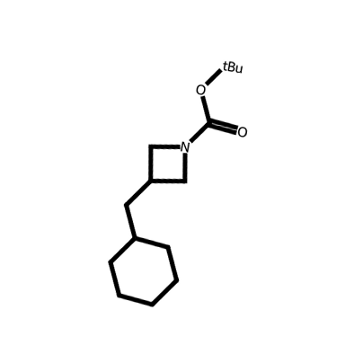 CC(C)(C)OC(=O)N1CC(CC2CCCCC2)C1